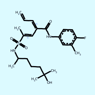 C=C/C=C(\C=C(/C)S(=O)(=O)NC(C)CCCC(C)(C)O)C(=O)Nc1ccc(F)c(C)c1